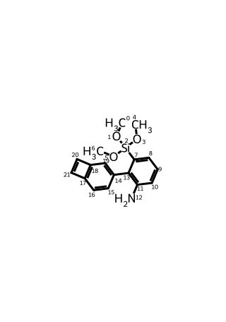 CO[Si](OC)(OC)c1cccc(N)c1-c1ccc2c(c1)C=C2